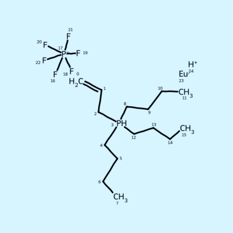 C=CC[PH](CCCC)(CCCC)CCCC.F[P-](F)(F)(F)(F)F.[Eu].[H+]